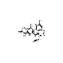 C#CC[C@H]1COc2cc(F)ccc2N1Cc1cc(Cl)c2c(c1)NC(=O)CO2